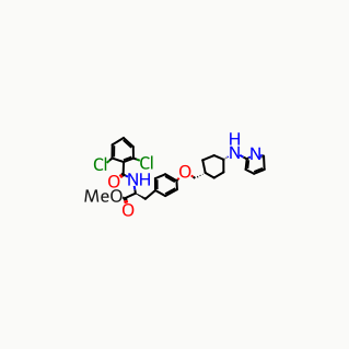 COC(=O)[C@H](Cc1ccc(OC[C@H]2CC[C@@H](Nc3ccccn3)CC2)cc1)NC(=O)c1c(Cl)cccc1Cl